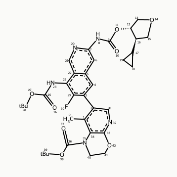 Cc1c(-c2cc3cc(NC(=O)O[C@@H]4COC[C@H]4C4CC4)ncc3c(NC(=O)OC(C)(C)C)c2F)cnc2c1N(C(=O)OC(C)(C)C)CCO2